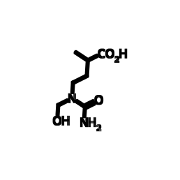 CC(CCN(CO)C(N)=O)C(=O)O